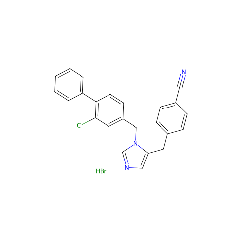 Br.N#Cc1ccc(Cc2cncn2Cc2ccc(-c3ccccc3)c(Cl)c2)cc1